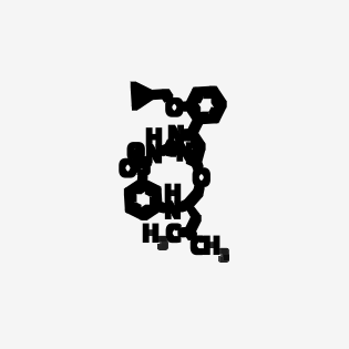 CC(C)C[C@@H]1COc2cc(-c3ccccc3OCC3CC3)nc(n2)NS(=O)(=O)c2cccc(c2)N1